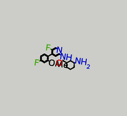 COc1cc(F)ccc1-c1cc(NC(=O)C2CCCC(N)C2)ncc1F